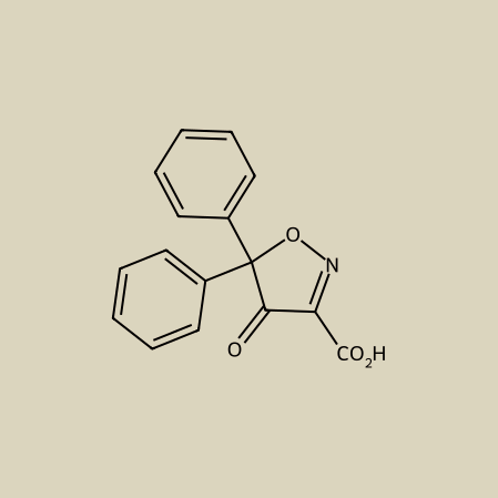 O=C(O)C1=NOC(c2ccccc2)(c2ccccc2)C1=O